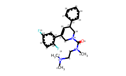 CN(C)CCN(C)C(=O)N1CC(c2cc(F)ccc2F)=CC(c2ccccc2)C1